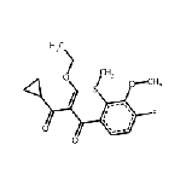 CCOC=C(C(=O)c1ccc(F)c(OC)c1SC)C(=O)C1CC1